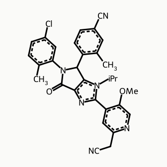 COc1cnc(CC#N)cc1-c1nc2c(n1C(C)C)C(c1ccc(C#N)cc1C)N(c1cc(Cl)ccc1C)C2=O